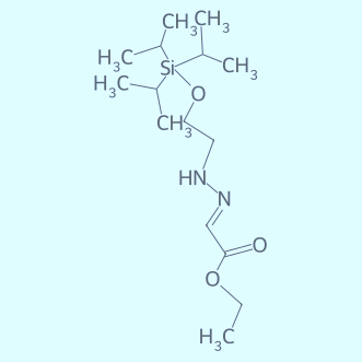 CCOC(=O)/C=N/NCCO[Si](C(C)C)(C(C)C)C(C)C